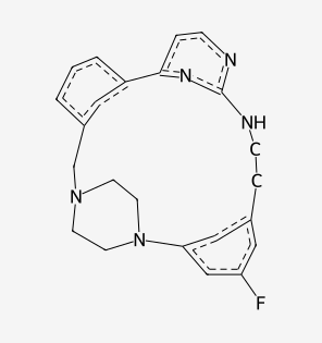 Fc1cc2cc(c1)N1CCN(CC1)Cc1cccc(c1)-c1ccnc(n1)NCC2